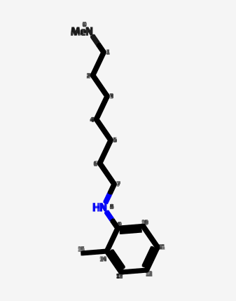 CNCCCCCCCNc1ccccc1C